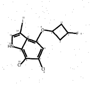 FC1CC(Oc2cc(Cl)c(Cl)c3[nH]cc(I)c23)C1